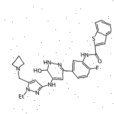 CCn1nc(NC2=CC(c3ccc(F)c(NC(=O)c4cc5ccccc5s4)c3)=NNC2O)cc1CN1CCC1